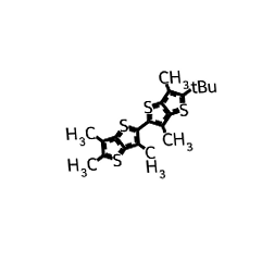 Cc1sc2c(C)c(-c3sc4c(C)c(C(C)(C)C)sc4c3C)sc2c1C